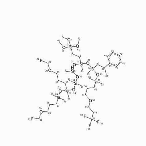 CO[Si](CC[Si](C)(O[SiH](C)O[Si](C)(C)O[Si](C)(CCCOCF)O[Si](C)(C)CCCOCF)O[Si](C)(CC(C)c1ccccc1)O[Si](C)(C)CCCOCCC(F)(F)F)(OC)OC